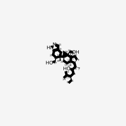 CC[C@H](CC(O)[C@@H](C)[C@H]1CC[C@@H]2[C@]1(C)CC[C@@]1([C@@]3(C)Cc4cn[nH]c4C[C@@H]3CO)C[C@]21CO)C(C)C